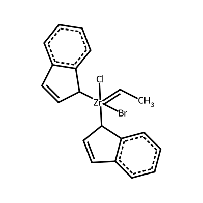 C[CH]=[Zr]([Cl])([Br])([CH]1C=Cc2ccccc21)[CH]1C=Cc2ccccc21